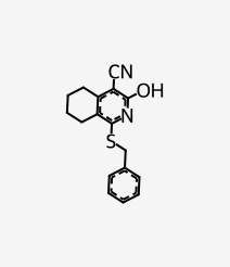 N#Cc1c(O)nc(SCc2ccccc2)c2c1CCCC2